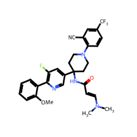 COc1ccccc1-c1ncc(C2(NC(=O)C=CN(C)C)CCN(c3ccc(C(F)(F)F)cc3C#N)CC2)cc1F